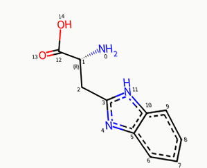 N[C@H](Cc1nc2ccccc2[nH]1)C(=O)O